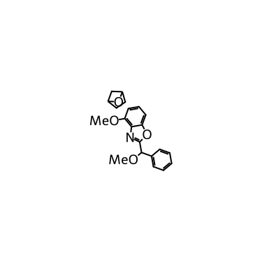 C1CC2CC1O2.COc1cccc2oc(C(OC)c3ccccc3)nc12